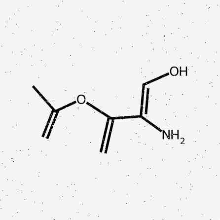 C=C(C)OC(=C)/C(N)=C/O